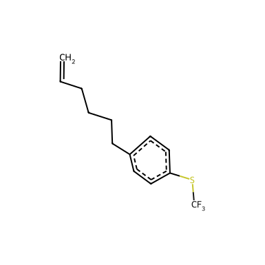 C=CCCCCc1ccc(SC(F)(F)F)cc1